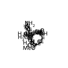 COc1cc2cc(c1Cl)N(C)C(=O)C[C@H](OC(=O)[C@H](C)N(C)C(=O)c1ccc3nc(N)ccc3c1)[C@]1(C)O[C@H]1[C@H](C)[C@@H]1CC(C/C=C/C=C(\C)C2)NC(=O)O1